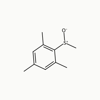 Cc1cc(C)c([S+](C)[O-])c(C)c1